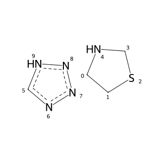 C1CSCN1.c1nnn[nH]1